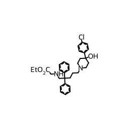 CCOC(=O)CNCC(CCCN1CCC(O)(c2ccc(Cl)cc2)CC1)(c1ccccc1)c1ccccc1